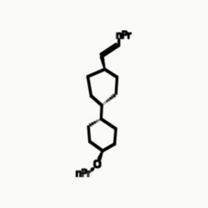 CCC/C=C/[C@H]1CC[C@H]([C@H]2CC[C@H](OCCC)CC2)CC1